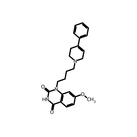 COc1ccc2c(=O)[nH]c(=O)n(CCCCN3CC=C(c4ccccc4)CC3)c2c1